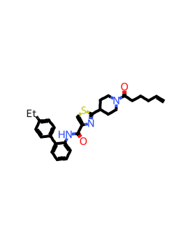 C=CCCCC(=O)N1CCC(c2nc(C(=O)Nc3ccccc3-c3ccc(CC)cc3)cs2)CC1